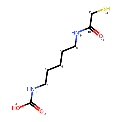 O=C(O)NCCCCCNC(=O)CS